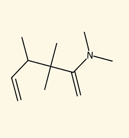 C=CC(C)C(C)(C)C(=C)N(C)C